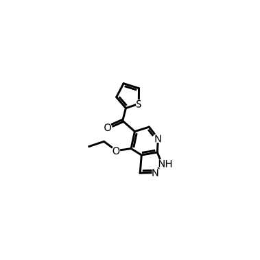 CCOc1c(C(=O)c2cccs2)cnc2[nH]ncc12